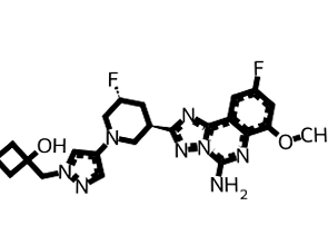 COc1cc(F)cc2c1nc(N)n1nc([C@@H]3C[C@@H](F)CN(c4cnn(CC5(O)CCC5)c4)C3)nc21